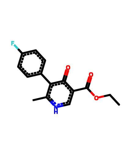 CCOC(=O)c1c[nH]c(C)c(-c2ccc(F)cc2)c1=O